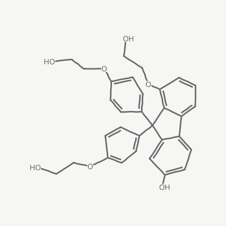 OCCOc1ccc(C2(c3ccc(OCCO)cc3)c3cc(O)ccc3-c3cccc(OCCO)c32)cc1